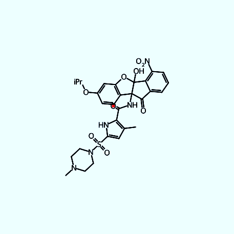 Cc1cc(S(=O)(=O)N2CCN(C)CC2)[nH]c1C(=O)NC12C(=O)c3cccc([N+](=O)[O-])c3C1(O)Oc1cc(OC(C)C)ccc12